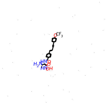 C[C@@H](N)[C@H](NC(=O)c1ccc(/C=C/C#Cc2ccc(OC(F)(F)F)cc2)cc1)C(=O)NO